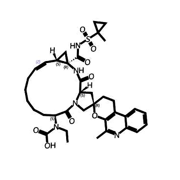 CCN(C(=O)O)[C@H]1CCCCC/C=C\[C@@H]2C[C@@]2(C(=O)NS(=O)(=O)C2(C)CC2)NC(=O)[C@@H]2C[C@]3(CCc4c(c(C)nc5ccccc45)O3)CN2C1=O